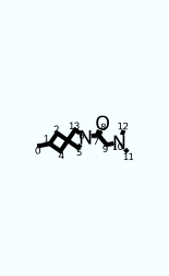 CC1CC2(C1)CN(C(=O)CN(C)C)C2